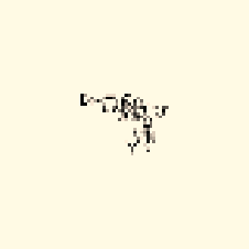 COC[C@H]1O[C@@H](S(=O)(=O)c2ccc(Br)cc2)[C@@H](C)C1OP1OC(C(C)C)C(C)N1C